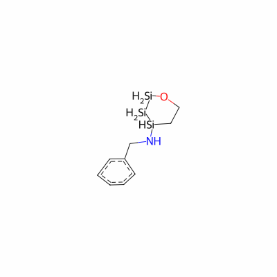 c1ccc(CN[SiH]2CCO[SiH2][SiH2]2)cc1